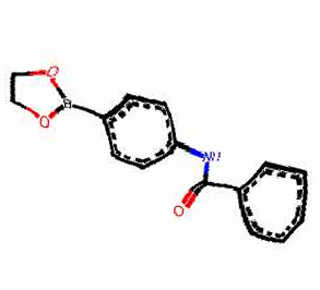 O=C(Nc1ccc(B2OCCO2)cc1)c1ccccc1